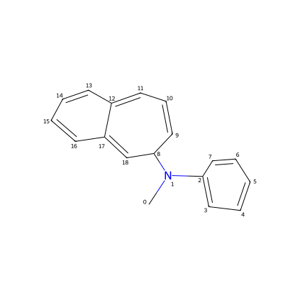 CN(c1ccccc1)C1C=CC=c2ccccc2=C1